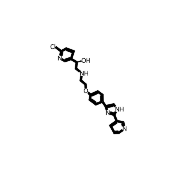 O[C@@H](CNCCOc1ccc(-c2c[nH]c(-c3cccnc3)n2)cc1)c1ccc(Cl)nc1